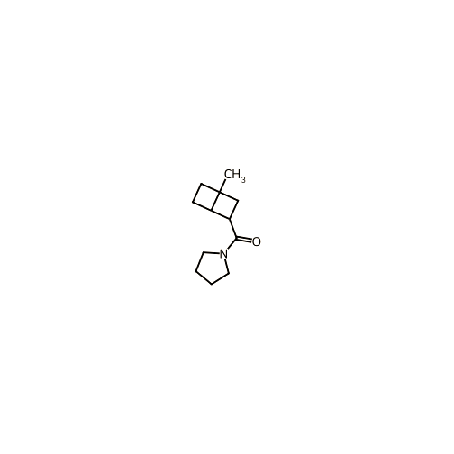 CC12CCC1C(C(=O)N1CCCC1)C2